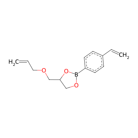 C=CCOCC1COB(c2ccc(C=C)cc2)O1